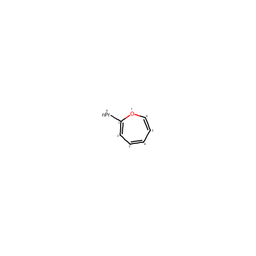 CCCC1=CC=CC=CO1